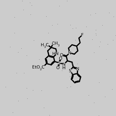 CCOC(=O)c1cc2c(c(S(=O)(=O)NC(Cc3nc4ccccc4s3)C(=O)N3CCC(CCF)CC3)c1)NCC(C)(C)C2